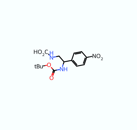 CC(C)(C)OC(=O)NC(CNC(=O)O)c1ccc([N+](=O)[O-])cc1